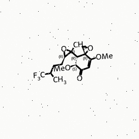 COC1=CC(=O)[C@@H](OC)[C@H]([C@@]2(C)O[C@@H]2CCC(C)C(F)(F)F)[C@@]12CO2